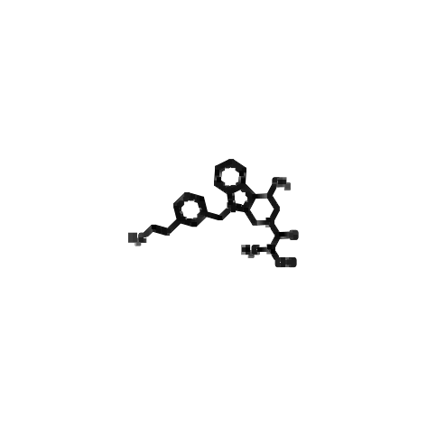 C/C=C/c1cccc(Cn2c3c(c4ccccc42)C(C)CN(C(=O)N(C)C=O)C3)c1